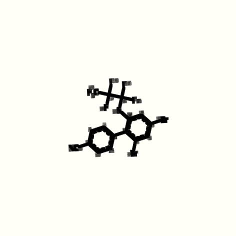 N#Cc1ccc(-c2c(Br)[c]c(Br)cc2SC(F)(F)C(F)(F)C(F)(F)F)cc1